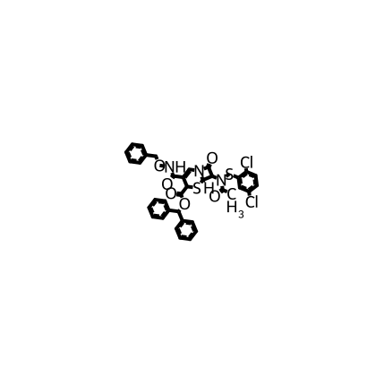 CC(=O)N(Sc1cc(Cl)ccc1Cl)C1C(=O)N2C=C(C(=O)NOCc3ccccc3)C(C(=O)OC(c3ccccc3)c3ccccc3)S[C@H]12